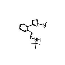 CN(C)C1=CCC(c2ccccc2C=NNC(C)(C)C)=C1